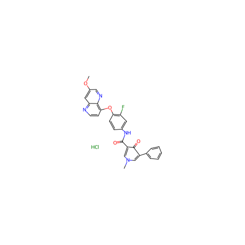 COc1cnc2c(Oc3ccc(NC(=O)c4cn(C)cc(-c5ccccc5)c4=O)cc3F)ccnc2c1.Cl